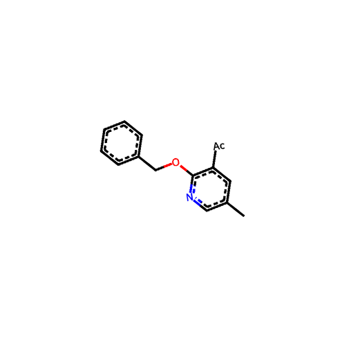 CC(=O)c1cc(C)cnc1OCc1ccccc1